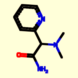 CN(C)C(C(N)=O)c1ccccn1